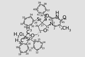 Cc1cn([C@H]2O[C@H](CO[Si](c3ccccc3)(c3ccccc3)C(C)(C)C)CC2(Sc2ccccc2)Sc2ccccc2)c(=O)[nH]c1=O